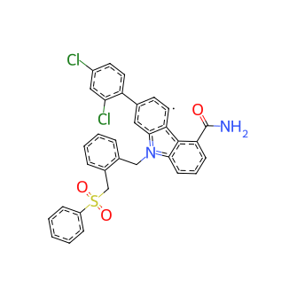 NC(=O)c1cccc2c1c1[c]cc(-c3ccc(Cl)cc3Cl)cc1n2Cc1ccccc1CS(=O)(=O)c1ccccc1